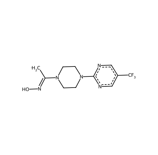 [CH2]C(=NO)N1CCN(c2ncc(C(F)(F)F)cn2)CC1